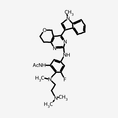 CC(=O)Nc1cc(Nc2nc3c(c(-c4cn(C)c5ccccc45)n2)COCC3)cc(F)c1N(C)CCN(C)C